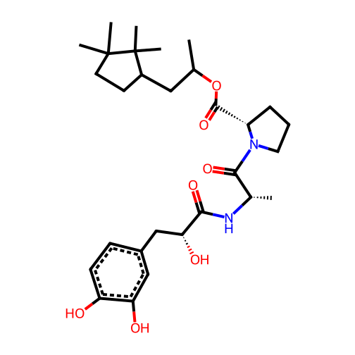 CC(CC1CCC(C)(C)C1(C)C)OC(=O)[C@@H]1CCCN1C(=O)[C@H](C)NC(=O)[C@H](O)Cc1ccc(O)c(O)c1